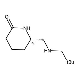 CC(C)(C)CNC[C@@H]1CCCC(=O)N1